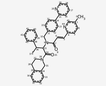 Cc1ccc(C=CC(=O)N(Cc2ccc(-c3ccccn3)cc2)C(C(=O)N2CCc3ccccc3C2)C(I)c2ccccc2)nc1